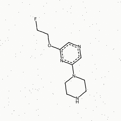 FCCOc1cncc(N2CCNCC2)n1